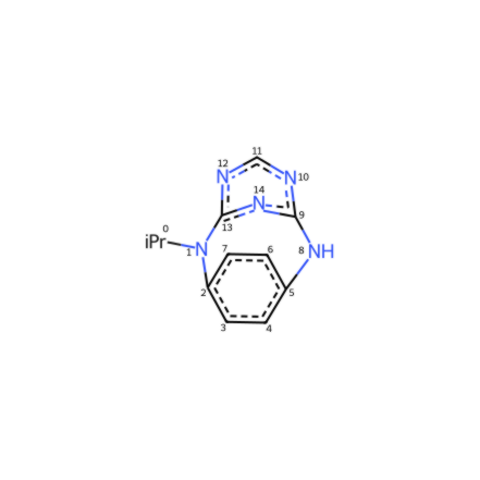 CC(C)N1c2ccc(cc2)Nc2ncnc1n2